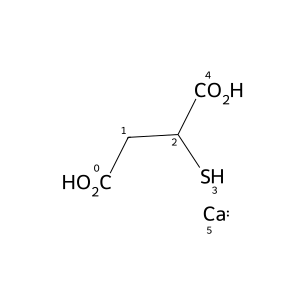 O=C(O)CC(S)C(=O)O.[Ca]